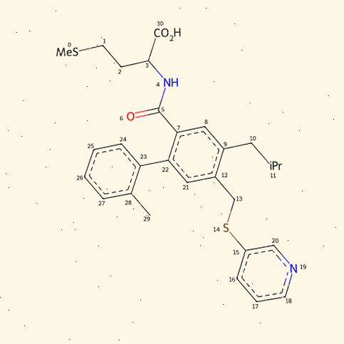 CSCCC(NC(=O)c1cc(CC(C)C)c(CSc2cccnc2)cc1-c1ccccc1C)C(=O)O